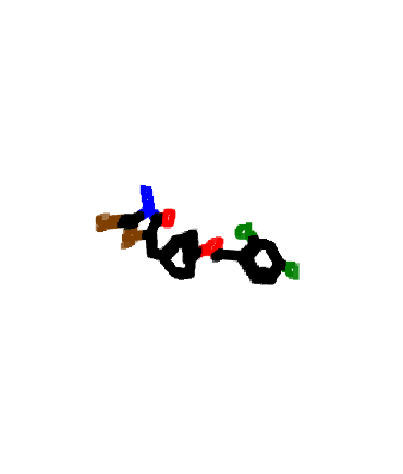 O=C1NC(=S)S/C1=C/c1ccc(OCc2ccc(Cl)cc2Cl)cc1